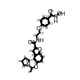 CC(Oc1ccc2oc(C(=O)NCCOc3ccc(C(=O)NO)cc3)cc2c1)N1CCCC1